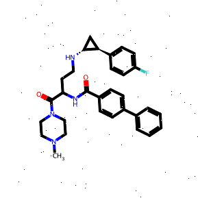 CN1CCN(C(=O)C(CCN[C@@H]2C[C@H]2c2ccc(F)cc2)NC(=O)c2ccc(-c3ccccc3)cc2)CC1